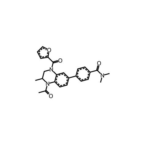 CC(=O)N1c2ccc(-c3ccc(C(=O)N(C)C)cc3)cc2N(C(=O)c2ccco2)CC1C